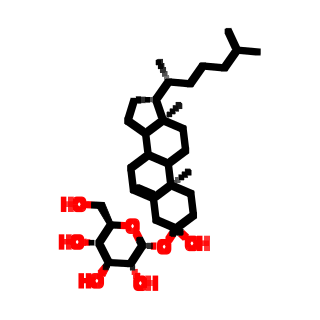 CC(C)CCC[C@@H](C)[C@H]1CCC2C3CC=C4CC(O)(O[C@H]5O[C@H](CO)[C@@H](O)[C@H](O)[C@H]5O)CC[C@]4(C)C3CC[C@@]21C